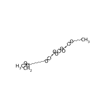 C=C(C)C(=O)OCCCCCCCCCCCOc1ccc(C#CC(=O)Oc2ccc(OC(=O)C#Cc3ccc(OCCCCCCC)cc3)cc2)cc1